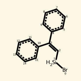 Br[SiH2]C=C(c1ccccc1)c1ccccc1